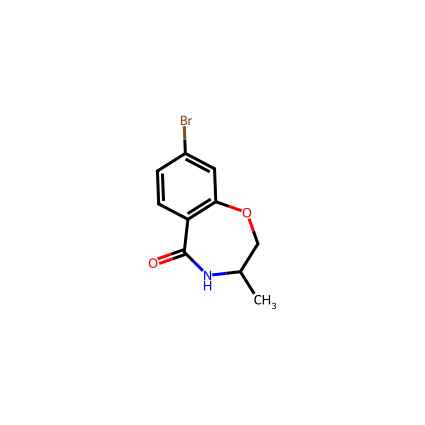 CC1COc2cc(Br)ccc2C(=O)N1